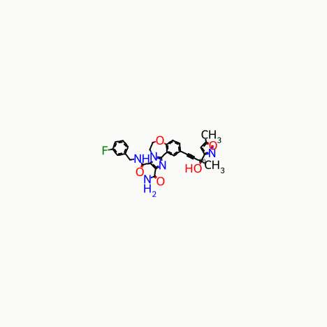 Cc1cc([C@](C)(O)C#Cc2ccc3c(c2)-c2nc(C(N)=O)c(C(=O)NCc4cccc(F)c4)n2CCO3)no1